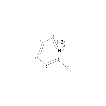 Br.Fc1ccccn1